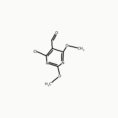 COc1nc(Cl)c(C=O)c(OC)n1